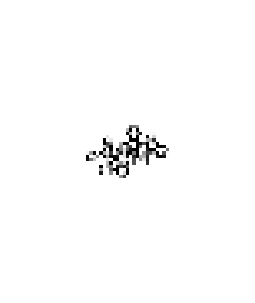 COCCOC(=O)[C@H](Cc1ccc(-c2ncc3ccccc3c2C(F)(F)F)c2ccccc12)NC(=O)c1c(Cl)cccc1Cl